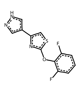 Fc1cccc(F)c1Oc1nc(-c2cn[nH]c2)cs1